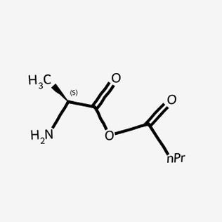 CCCC(=O)OC(=O)[C@H](C)N